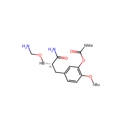 CCCCOc1ccc(C[C@H](BOCN)C(N)=O)cc1OC(=O)NC